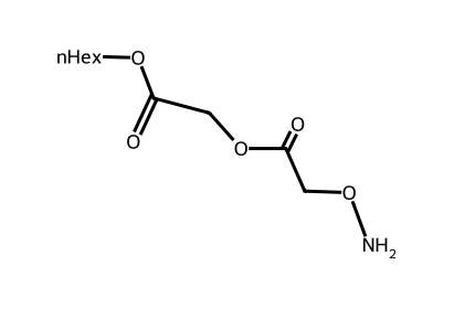 CCCCCCOC(=O)COC(=O)CON